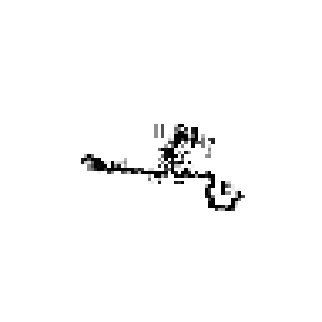 CC/C=C\C/C=C\C/C=C\C/C=C\C/C=C\CCCC(=O)O[C@H](COC(=O)CCCCCCCCC/C=C\C/C=C\CCCCC)COP(=O)([O-])OCC[N+](C)(C)C